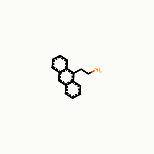 PCCc1c2ccccc2cc2ccccc12